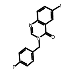 O=c1c2cc(I)ccc2ncn1Cc1ccc(F)cc1